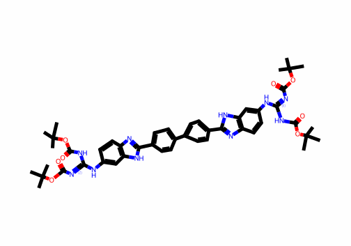 CC(C)(C)OC(=O)/N=C(\NC(=O)OC(C)(C)C)Nc1ccc2nc(-c3ccc(-c4ccc(-c5nc6ccc(N/C(=N\C(=O)OC(C)(C)C)NC(=O)OC(C)(C)C)cc6[nH]5)cc4)cc3)[nH]c2c1